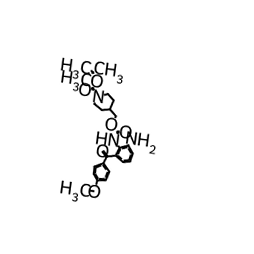 COc1ccc(C(=O)c2cccc(N)c2NC(=O)OCC2CCN(C(=O)OC(C)(C)C)CC2)cc1